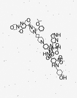 COc1cc2c(nc1N1CCOCC1)COC[C@H]2N1CCN(C2CC3(CCN(c4ccc(C(=O)NS(=O)(=O)c5ccc(NCC6CCC(C)(O)CC6)c([N+](=O)[O-])c5)c(N5c6cc7cc[nH]c7nc6O[C@H]6COCC[C@@H]65)c4)CC3)C2)[C@@H](c2ccccc2OC(C)C)C1